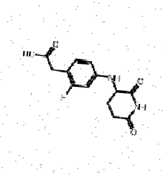 O=C(O)Cc1ccc(NC2CCC(=O)NC2=O)cc1F